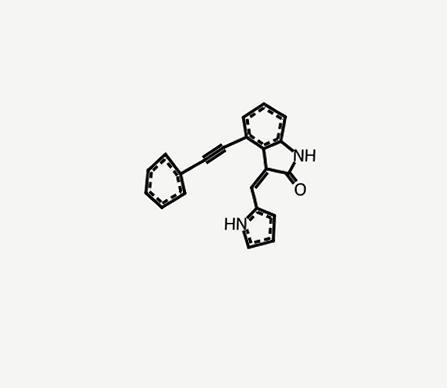 O=C1Nc2cccc(C#Cc3ccccc3)c2/C1=C/c1ccc[nH]1